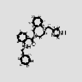 O=C(c1ccccc1NCc1ccccc1)N1CCN(Cc2c[nH]cn2)c2ccccc2C1